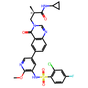 COc1ncc(-c2ccc3ncn(C[C@@H](C)C(=O)NC4CC4)c(=O)c3c2)cc1NS(=O)(=O)c1ccc(F)cc1Cl